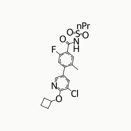 CCCS(=O)(=O)NC(=O)c1cc(C)c(-c2cnc(OC3CCC3)c(Cl)c2)cc1F